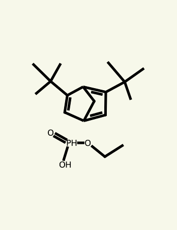 CC(C)(C)C1=CC2=CC(C(C)(C)C)=C1C2.CCO[PH](=O)O